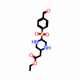 CCOC(=O)CC1CNC(S(=O)(=O)c2ccc(C=O)cc2)CN1